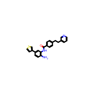 Nc1ccc(-c2ccsc2)cc1NC(=O)c1ccc(CCc2cccnc2)cc1